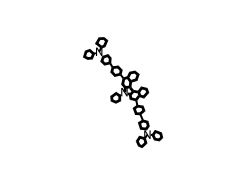 c1ccc(N(c2ccccc2)c2ccc(-c3ccc(-c4cc5c(c6ccccc46)c4c6ccccc6c(-c6ccc(-c7ccc(N(c8ccccc8)c8ccccc8)cc7)cc6)cc4n5-c4ccccc4)cc3)cc2)cc1